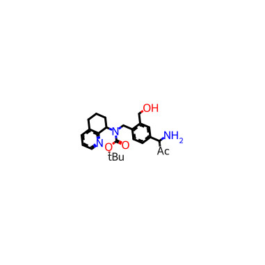 CC(=O)C(N)c1ccc(CN(C(=O)OC(C)(C)C)C2CCCc3cccnc32)c(CO)c1